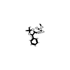 COS(=O)(=O)NC1OC(C)(C)OC1c1ccccc1